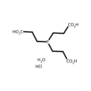 Cl.O.O=C(O)CCP(CCC(=O)O)CCC(=O)O